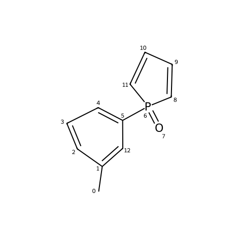 Cc1cccc(P2(=O)C=CC=C2)c1